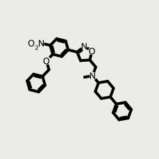 CN(CC1CC(c2ccc([N+](=O)[O-])c(OCc3ccccc3)c2)=NO1)C1CCC(c2ccccc2)CC1